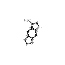 Nc1coc2cc3occc3cc12